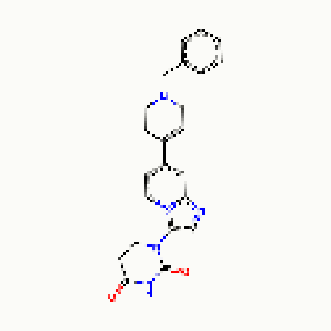 O=C1CCN(c2cnc3cc(C4=CCN(Cc5ccccc5)CC4)ccn23)C(=O)N1